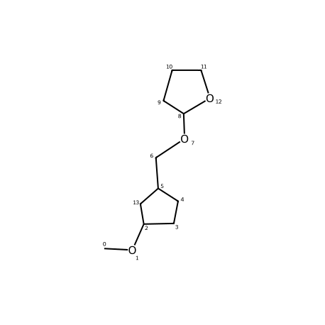 COC1CCC(COC2CCCO2)C1